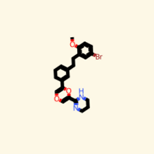 COc1ccc(Br)cc1CCC1=CCCC(C2=COC=C(C3=NCCCN3)O2)=C1